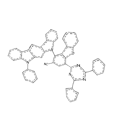 N#Cc1cc(-c2nc(-c3ccccc3)nc(-c3ccccc3)n2)c2oc3ccccc3c2c1-n1c2ccccc2c2cc3c4ccccc4n(-c4ccccc4)c3cc21